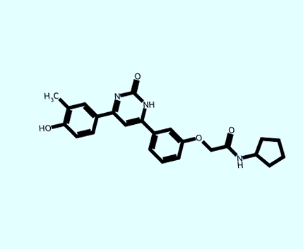 Cc1cc(-c2cc(-c3cccc(OCC(=O)NC4CCCC4)c3)[nH]c(=O)n2)ccc1O